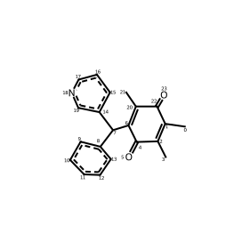 CC1=C(C)C(=O)C(C(c2ccccc2)c2cccnc2)=C(C)C1=O